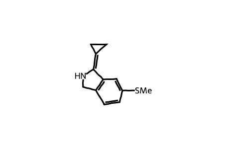 CSc1ccc2c(c1)C(=C1CC1)NC2